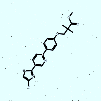 COC(=O)C(C)(C)COc1ccc(-c2ccc(-c3nc(Cl)c[nH]3)cn2)cc1